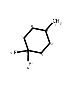 CC1CCC(F)(C(C)C)CC1